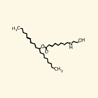 CCCCCCCCCC(CCCCCCCC)OC(=O)CCCCCCCNCCO